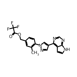 Cc1cc(COC(=O)C(F)(F)F)ccc1-n1cc(-c2ncnc3[nH]ccc23)cn1